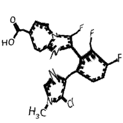 Cn1cnc(-c2ccc(F)c(F)c2-c2nc3cc(C(=O)O)ccn3c2F)c1Cl